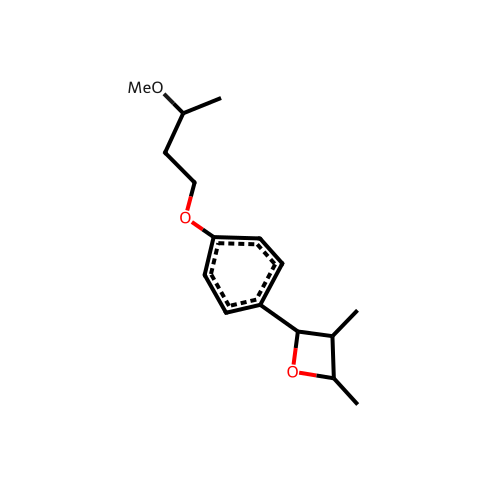 COC(C)CCOc1ccc(C2OC(C)C2C)cc1